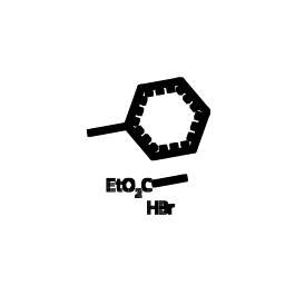 Br.CCOC(C)=O.Cc1ccccc1